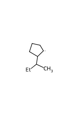 CCC(C)C1[CH]CCC1